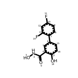 O=C(NO)c1cc(-c2ccc(F)cc2F)ccc1O